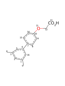 Cc1cc(C)cc(-c2ccc(OCC(=O)O)cc2)c1